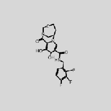 O=C(NCc1ccc(F)c(F)c1F)C1=CN2C(=C(O)C1O)C(=O)N1CCCCC2C1